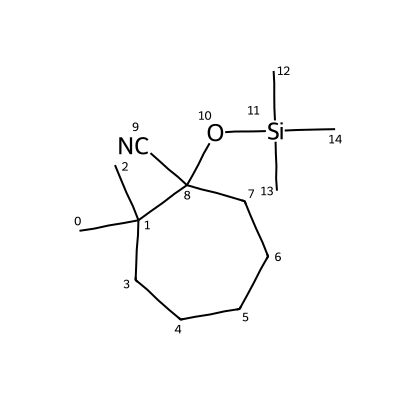 CC1(C)CCCCCC1(C#N)O[Si](C)(C)C